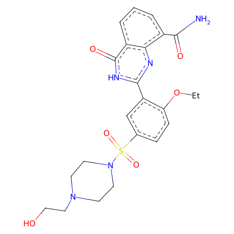 CCOc1ccc(S(=O)(=O)N2CCN(CCO)CC2)cc1-c1nc2c(C(N)=O)cccc2c(=O)[nH]1